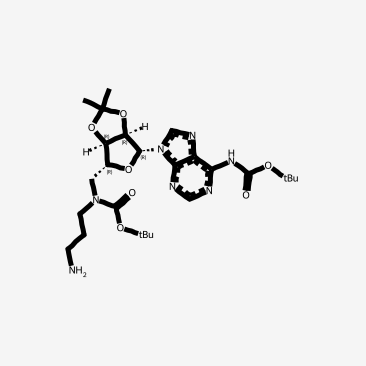 CC(C)(C)OC(=O)Nc1ncnc2c1ncn2[C@@H]1O[C@H](CN(CCCN)C(=O)OC(C)(C)C)[C@H]2OC(C)(C)O[C@H]21